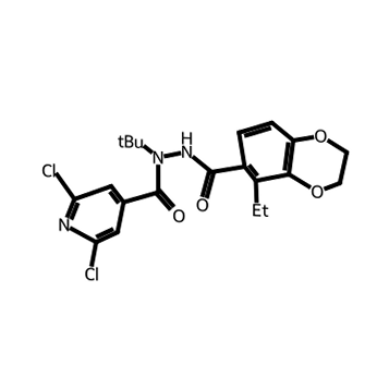 CCc1c(C(=O)NN(C(=O)c2cc(Cl)nc(Cl)c2)C(C)(C)C)ccc2c1OCCO2